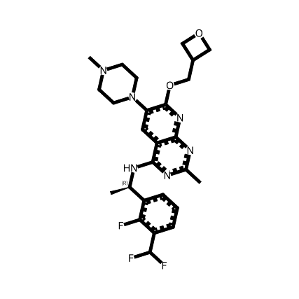 Cc1nc(N[C@H](C)c2cccc(C(F)F)c2F)c2cc(N3CCN(C)CC3)c(OCC3COC3)nc2n1